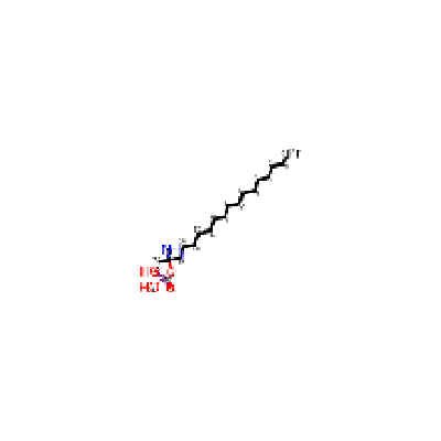 CC(C)CCCCCCCCCCCCCCCC(C)(N)OP(=O)(O)O